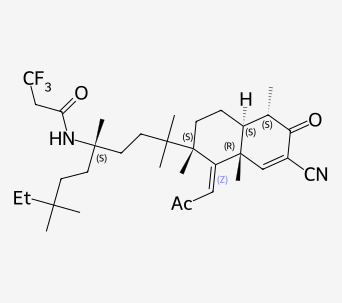 CCC(C)(C)CC[C@@](C)(CCC(C)(C)[C@]1(C)CC[C@H]2[C@H](C)C(=O)C(C#N)=C[C@]2(C)/C1=C/C(C)=O)NC(=O)CC(F)(F)F